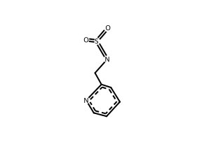 O=S(=O)=NCc1ccccn1